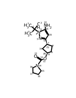 CC(C)(C)n1nc([C@H]2CC[C@@H](OC(=O)N3CCCC3)C2)cc1N